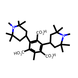 Cc1c(C(=O)O)c(C2CC(C)(C)N(C)C(C)(C)C2)c(C(=O)O)c(C2CC(C)(C)N(C)C(C)(C)C2)c1C(=O)O